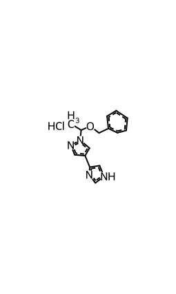 CC(OCc1ccccc1)n1cc(-c2c[nH]cn2)cn1.Cl